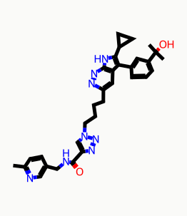 Cc1ccc(CNC(=O)c2cn(CCCCc3cc4c(-c5cccc(C(C)(C)O)c5)c(C5CC5)[nH]c4nn3)nn2)cn1